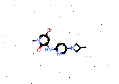 CC1CN(c2ccc(Nc3cc(Br)cn(C)c3=O)nc2)C1